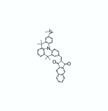 CC1(C)c2cc(C=C3C(=O)c4cc5ccccc5cc4C3=O)ccc2N2c3ccc([Si](C)(C)C)cc3C(C)(C)c3cccc1c32